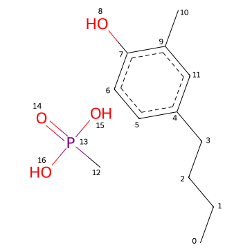 CCCCc1ccc(O)c(C)c1.CP(=O)(O)O